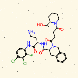 NCC[C@H](NC(=O)[C@@H]1Cc2ccccc2CN1C(=O)CCC(=O)N1CCCC[C@@H]1CO)C(=O)Nc1ccc(Cl)c(Cl)c1F